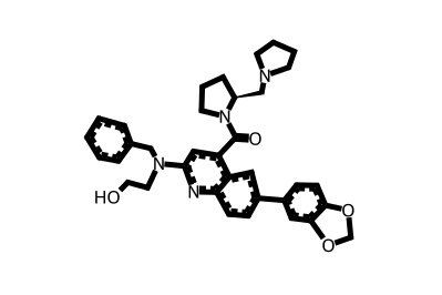 O=C(c1cc(N(CCO)Cc2ccccc2)nc2ccc(-c3ccc4c(c3)OCO4)cc12)N1CCC[C@H]1CN1CCCC1